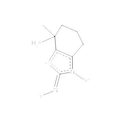 BC1(C)CCCc2c1o/c(=N\C(C)C)n2C(C)C